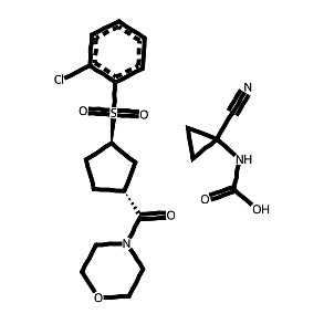 N#CC1(NC(=O)O)CC1.O=C([C@@H]1CC[C@@H](S(=O)(=O)c2ccccc2Cl)C1)N1CCOCC1